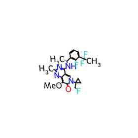 COc1c(=O)n(C2(CF)CC2)cc2c(N[C@H](C)c3cccc(C(C)(F)F)c3F)nc(C)nc12